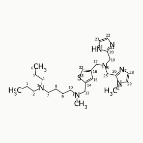 CCCN(CCC)CCCCN(C)Cc1cc(CN(Cc2ncc[nH]2)Cc2nccn2C)cs1